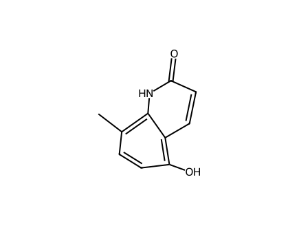 Cc1ccc(O)c2ccc(=O)[nH]c12